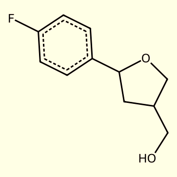 OCC1COC(c2ccc(F)cc2)C1